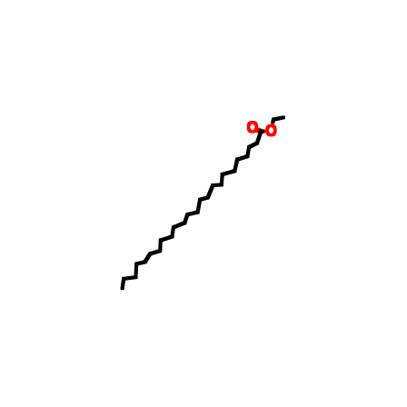 CCCCCCCCCCCCCCCCCCCCCCCC(=O)OCC